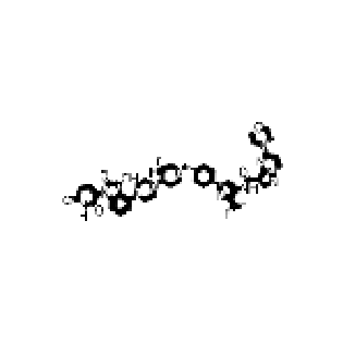 Cn1c(=O)n(C2CCC(=O)NC2=O)c2cccc(N3CCN(C4CCN(C[C@H]5CC[C@H](n6cc(NC(=O)c7cnn8ccc(N9CCOCC9)nc78)c(C(F)F)n6)CC5)CC4(F)F)CC3)c21